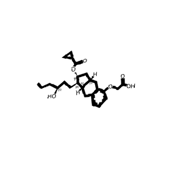 CCC[C@H](O)CC[C@@H]1[C@H]2Cc3cccc(OCC(=O)O)c3C[C@H]2C[C@H]1OC(=O)C1CC1